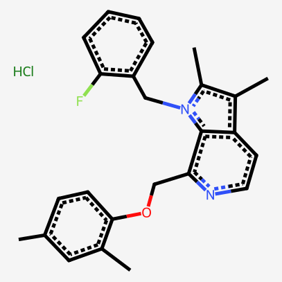 Cc1ccc(OCc2nccc3c(C)c(C)n(Cc4ccccc4F)c23)c(C)c1.Cl